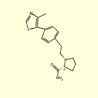 Cc1ncsc1-c1ccc(CCN2CCC[C@@H]2C(N)=O)cc1